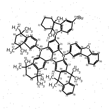 CC(C)(C)c1ccc2c(c1)C1(C)CCCCC1(C)N2c1cc2c3c(c1)N(c1ccc4oc5ccccc5c4c1)c1cc4c(cc1B3c1cc3c(cc1N2c1ccc2c(c1)C(C)(C)CCC2(C)C)C(C)(C)CCC3(C)C)C(C)(C)c1ccccc1C4(C)C